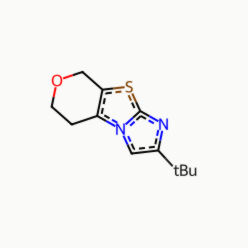 CC(C)(C)c1cn2c3c(sc2n1)COCC3